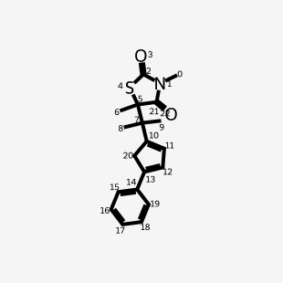 CN1C(=O)SC(C)(C(C)(C)C2=CC=C(c3ccccc3)C2)C1=O